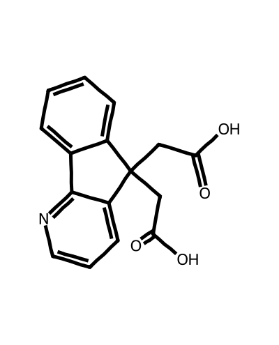 O=C(O)CC1(CC(=O)O)c2ccccc2-c2ncccc21